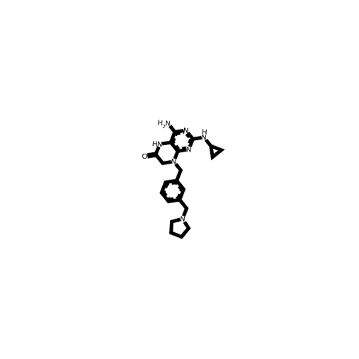 Nc1nc(NC2CC2)nc2c1NC(=O)CN2Cc1cccc(CN2CCCC2)c1